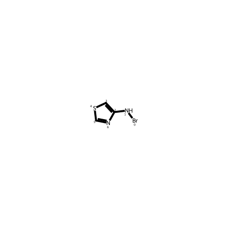 BrNc1cscn1